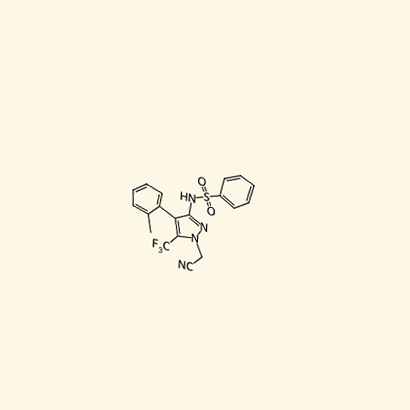 Cc1ccccc1-c1c(NS(=O)(=O)c2ccccc2)nn(CC#N)c1C(F)(F)F